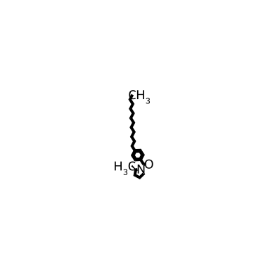 CCCCCCCCCCCCc1ccc(C(=O)N2CCC[C@H]2C)cc1